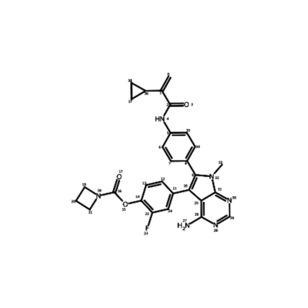 C=C(C(=O)Nc1ccc(-c2c(-c3ccc(OC(=O)N4CCC4)c(F)c3)c3c(N)ncnc3n2C)cc1)C1CC1